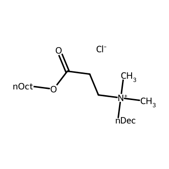 CCCCCCCCCC[N+](C)(C)CCC(=O)OCCCCCCCC.[Cl-]